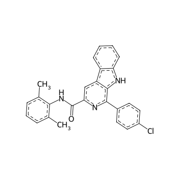 Cc1cccc(C)c1NC(=O)c1cc2c([nH]c3ccccc32)c(-c2ccc(Cl)cc2)n1